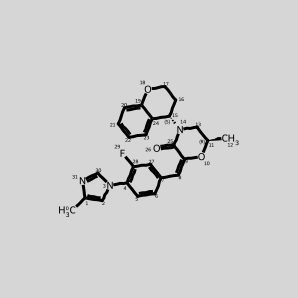 Cc1cn(-c2ccc(C=C3O[C@H](C)CN([C@H]4CCOc5ccccc54)C3=O)cc2F)cn1